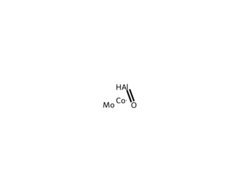 [Co].[Mo].[O]=[AlH]